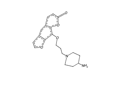 NC1CCN(CCCOc2c3occc3cc3ccc(=O)oc23)CC1